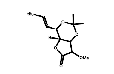 COC1C(=O)O[C@H]2C1OC(C)(C)O[C@@H]2/C=C/C(C)(C)C